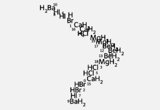 Br.Br.Br.Cl.Cl.Cl.I.I.I.[BaH2].[BaH2].[BeH2].[BeH2].[BeH2].[CaH2].[CaH2].[CaH2].[MgH2].[MgH2].[MgH2]